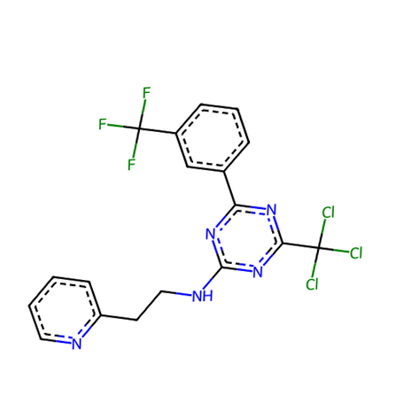 FC(F)(F)c1cccc(-c2nc(NCCc3ccccn3)nc(C(Cl)(Cl)Cl)n2)c1